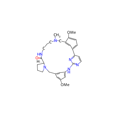 COc1cc2cc(c1)Nc1nccc(n1)-c1ccc(OC)c(c1)CN(C)CCCNC(=O)[C@@H]1CCCN1C2